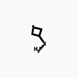 PSC1CSC1